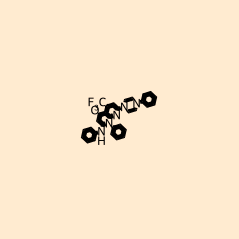 O=c1cc(Nc2ccccc2)n(-c2ccccc2)c2nc(N3CCN(c4ccccc4)CC3)cc(C(F)(F)F)c12